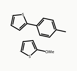 COc1cc[c]s1.Cc1ccc(-c2cc[c]s2)cc1